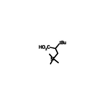 CC(C)(C)C(C[Si](C)(C)C)C(=O)O